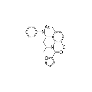 CC(=O)N(c1ccccc1)C1CC(C)N(C(=O)c2ccco2)c2c(Cl)ccc(C)c21